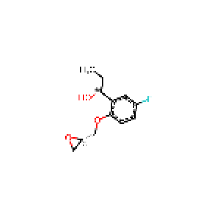 CC[C@@H](O)c1cc(F)ccc1OC[C@@H]1CO1